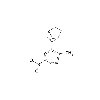 Cc1ccc(B(O)O)cc1C1=CC2CCC1C2